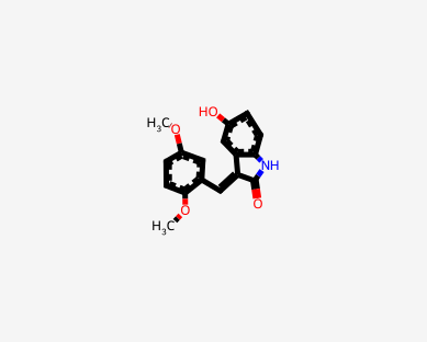 COc1ccc(OC)c(/C=C2/C(=O)Nc3ccc(O)cc32)c1